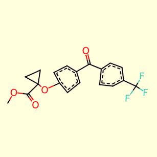 COC(=O)C1(Oc2ccc(C(=O)c3ccc(C(F)(F)F)cc3)cc2)CC1